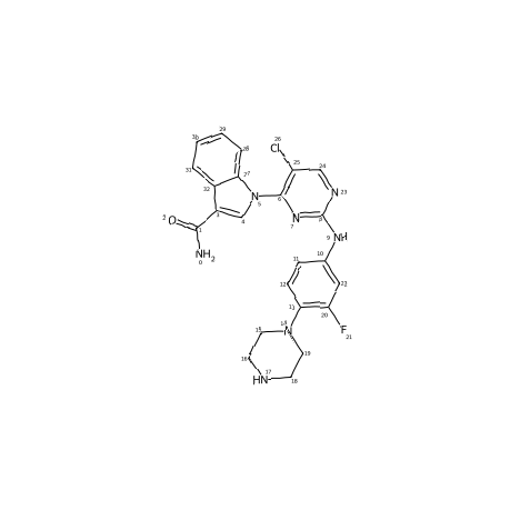 NC(=O)c1cn(-c2nc(Nc3ccc(N4CCNCC4)c(F)c3)ncc2Cl)c2ccccc12